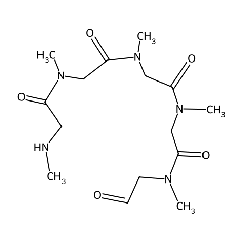 CNCC(=O)N(C)CC(=O)N(C)CC(=O)N(C)CC(=O)N(C)CC=O